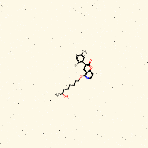 CCc1ccc(C)cc1-c1cc2c(OCCCCCCC(C)O)nccc2oc1=O